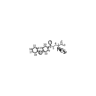 CC(C)C(CCC(=O)c1ccc(Oc2ccccc2)cc1)N=C=S